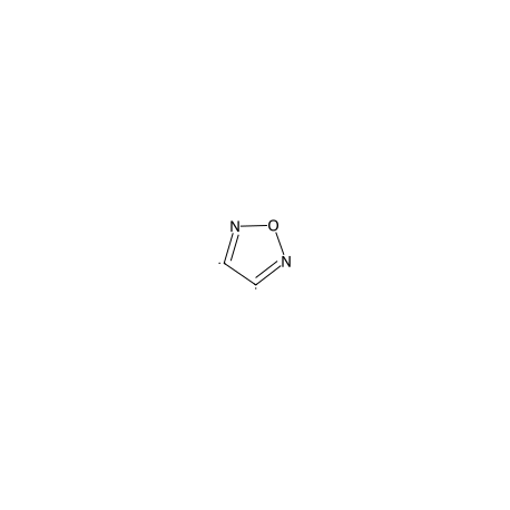 [c]1[c]non1